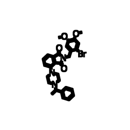 COc1cc(Br)c(CN2C(=O)c3cccc(N4CCN(C(C)c5ccccc5)CC4)c3C2=O)cc1OC